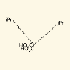 CC(C)CCCCCCCCCCCCCCCCCC(CCCCCCCCCCCCCCCCCC(C)C)(CC(=O)O)C(=O)O